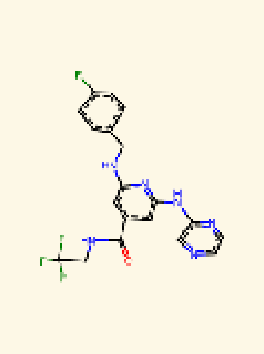 O=C(NCC(F)(F)F)c1cc(NCc2ccc(F)cc2)nc(Nc2cnccn2)c1